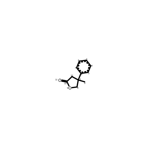 CC1(c2ccccc2)COC(=O)C1